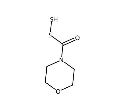 O=C(SS)N1CCOCC1